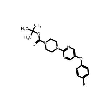 CC(C)(C)OC(=O)N1CCN(c2ncc(Oc3ccc(F)cc3)cn2)CC1